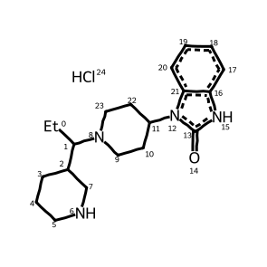 CCC(C1CCCNC1)N1CCC(n2c(=O)[nH]c3ccccc32)CC1.Cl